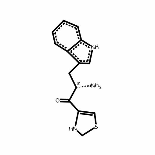 N[C@@H](Cc1c[nH]c2ccccc12)C(=O)C1=CSCN1